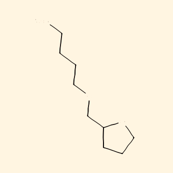 CC(=O)OCCCCOCC1CCCO1